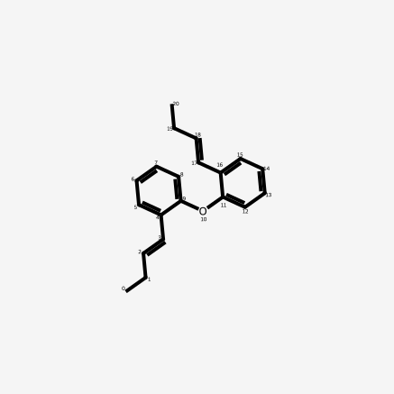 CCC=Cc1ccccc1Oc1ccccc1C=CCC